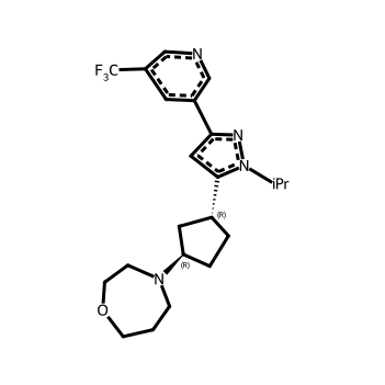 CC(C)n1nc(-c2cncc(C(F)(F)F)c2)cc1[C@@H]1CC[C@@H](N2CCCOCC2)C1